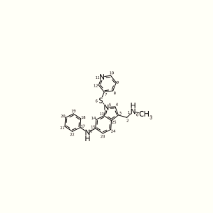 CNCc1cn(Sc2cccnc2)c2cc(Nc3ccccc3)ccc12